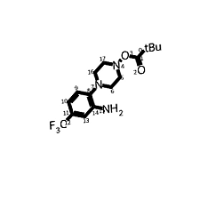 CC(C)(C)C(=O)ON1CCN(c2ccc(C(F)(F)F)cc2N)CC1